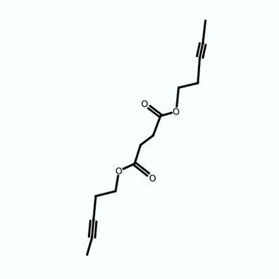 CC#CCCOC(=O)CCC(=O)OCCC#CC